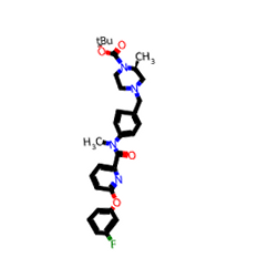 C[C@H]1CN(Cc2ccc(N(C)C(=O)c3cccc(Oc4cccc(F)c4)n3)cc2)CCN1C(=O)OC(C)(C)C